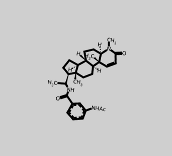 CC(=O)Nc1cccc(C(=O)NC(C)[C@H]2CC[C@H]3[C@@H]4CC[C@H]5N(C)C(=O)C=C[C@]5(C)[C@H]4CC[C@]23C)c1